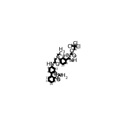 CCN(CC(=O)Nc1ccc(-c2ccccc2S(N)(=O)=O)cc1)c1cccc(C(=N)NC(=O)OCC(Cl)(Cl)Cl)c1